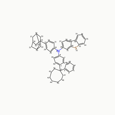 c1ccc(C2(c3ccc(N(c4ccc(C56CC7CC(CC(C7)C5)C6)cc4)c4ccc5c(c4)sc4ccccc45)cc3)CCCCCCC2)cc1